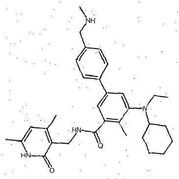 CCN(c1cc(-c2ccc(CNC)cc2)cc(C(=O)NCc2c(C)cc(C)[nH]c2=O)c1C)C1CCCCC1